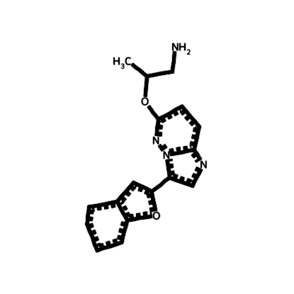 CC(CN)Oc1ccc2ncc(-c3cc4ccccc4o3)n2n1